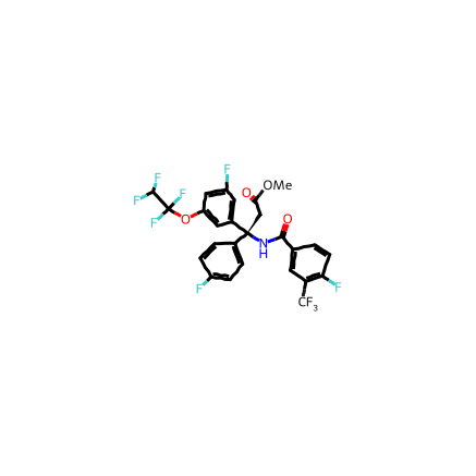 COC(=O)C[C@@](NC(=O)c1ccc(F)c(C(F)(F)F)c1)(c1ccc(F)cc1)c1cc(F)cc(OC(F)(F)C(F)F)c1